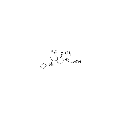 C#CCOc1ccc(C(=O)NC2CCC2)c(CC)c1OC